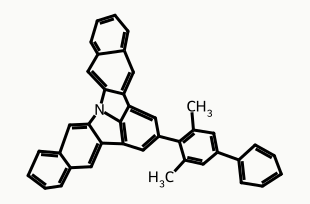 Cc1cc(-c2ccccc2)cc(C)c1-c1cc2c3cc4ccccc4cc3n3c4cc5ccccc5cc4c(c1)c23